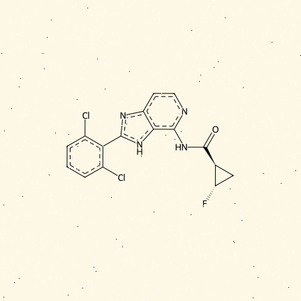 O=C(Nc1nccc2nc(-c3c(Cl)cccc3Cl)[nH]c12)[C@H]1C[C@@H]1F